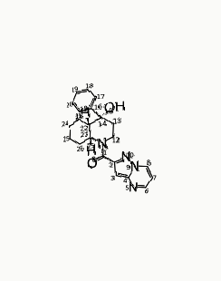 O=C(c1cc2ncccn2n1)N1CC[C@](O)(c2ccccc2)[C@H]2CCCC[C@H]21